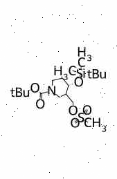 CC(C)(C)OC(=O)N1CC[C@H](O[Si](C)(C)C(C)(C)C)C(COS(C)(=O)=O)C1